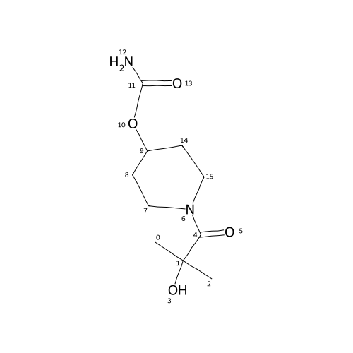 CC(C)(O)C(=O)N1CCC(OC(N)=O)CC1